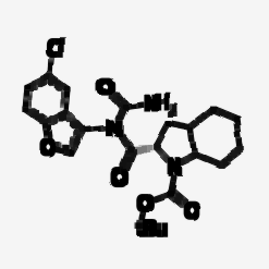 CC(C)(C)OC(=O)N1C2CCCCC2C[C@H]1C(=O)N(C(N)=O)c1coc2ccc(Cl)cc12